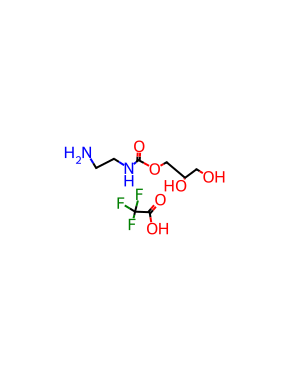 NCCNC(=O)OCC(O)CO.O=C(O)C(F)(F)F